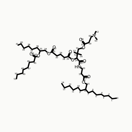 CCCCCCCCC(CCCCCC)COC(=O)CCNC(=O)C(OC(=O)CCCC(=O)OCC(CCCCCC)OC(=O)CCCCCCC)C(C)(C)COC(=O)CCN(C)C